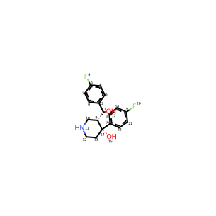 OC(c1ccc(F)cc1)[C@H]1CNCC[C@]1(O)c1ccc(F)cc1